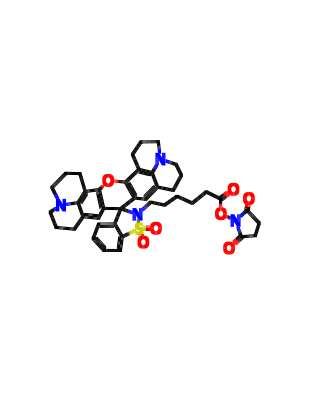 O=C(CCCCCN1C2(c3ccccc3S1(=O)=O)c1cc3c4c(c1Oc1c2cc2c5c1CCCN5CCC2)CCCN4CCC3)ON1C(=O)CCC1=O